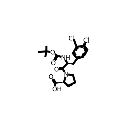 CC(C)(C)OC(=O)N[C@@H](Cc1ccc(Cl)c(Cl)c1)C(=O)N1CCC[C@H]1C(=O)O